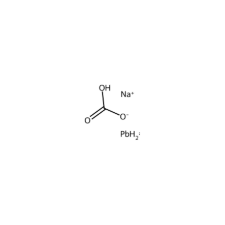 O=C([O-])O.[Na+].[PbH2]